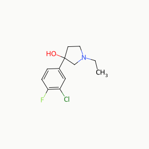 CCN1CCC(O)(c2ccc(F)c(Cl)c2)C1